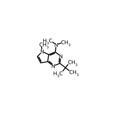 CN(C)c1nc(C(C)(C)C)nc2ccn(C)c12